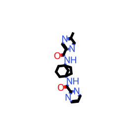 Cc1cnc(C(=O)NC23CCCC(NC(=O)c4ncccn4)(CC2)C3)cn1